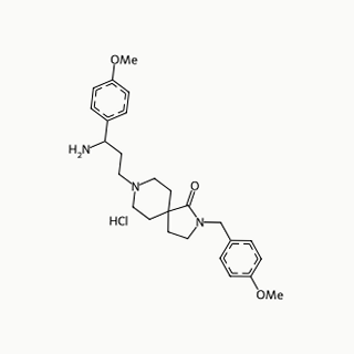 COc1ccc(CN2CCC3(CCN(CCC(N)c4ccc(OC)cc4)CC3)C2=O)cc1.Cl